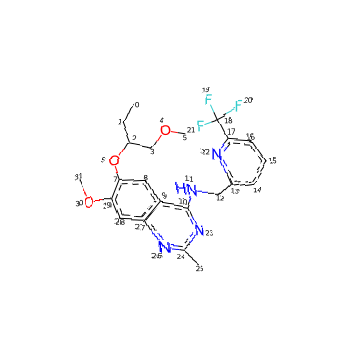 CCC(COC)Oc1cc2c(NCc3cccc(C(F)(F)F)n3)nc(C)nc2cc1OC